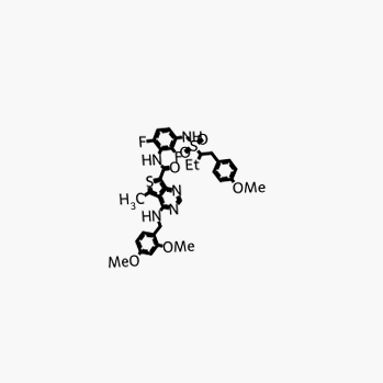 CCC(Cc1ccc(OC)cc1)S(=O)(=O)Nc1ccc(F)c(NC(=O)c2sc(C)c3c(NCc4ccc(OC)cc4OC)ncnc23)c1F